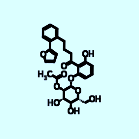 CC(=O)O[C@H]1[C@H](Oc2cccc(O)c2C(=O)CCCc2ccccc2-c2ccco2)O[C@H](CO)[C@@H](O)[C@@H]1O